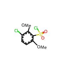 COc1ccc(Cl)c(OC)c1S(=O)(=O)Cl